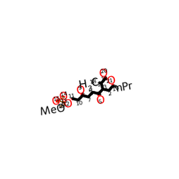 CCCC1CC(C(=O)CCC(=O)CCOS(=O)(=O)OC)C(C)C(=O)O1